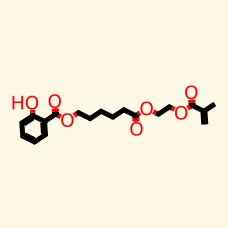 C=C(C)C(=O)OCCOC(=O)CCCCCOC(=O)c1ccccc1O